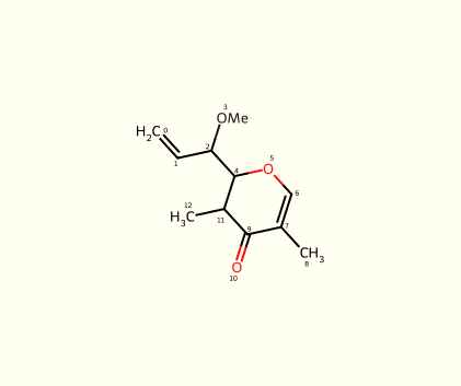 C=CC(OC)C1OC=C(C)C(=O)C1C